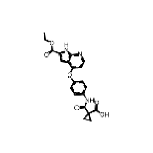 CCOC(=O)c1cc2c(Oc3ccc(NC(=O)C4(C(=O)O)CC4)cc3)ccnc2[nH]1